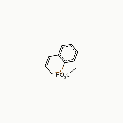 C1=Cc2ccccc2SC1.CC(=O)O